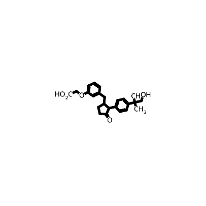 CC(C)(CO)c1ccc(C2C(=O)CCC2Cc2cccc(OCC(=O)O)c2)cc1